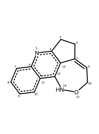 C1=C2CCc3nc4ccccc4c(c32)NOC1